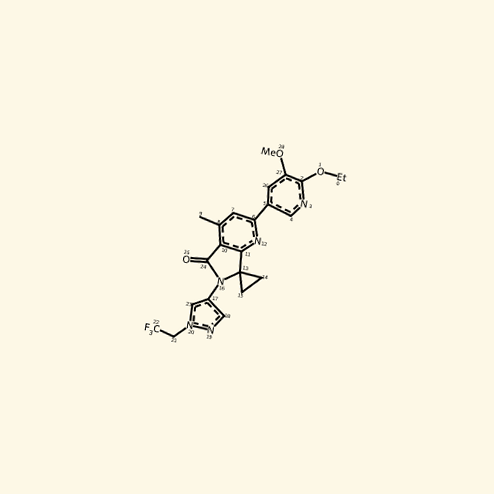 CCOc1ncc(-c2cc(C)c3c(n2)C2(CC2)N(c2cnn(CC(F)(F)F)c2)C3=O)cc1OC